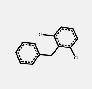 Clc1cccc(Cl)c1Cc1c[c]ccc1